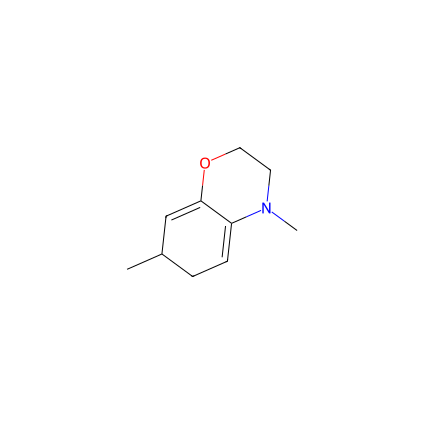 CC1C=C2OCCN(C)C2=CC1